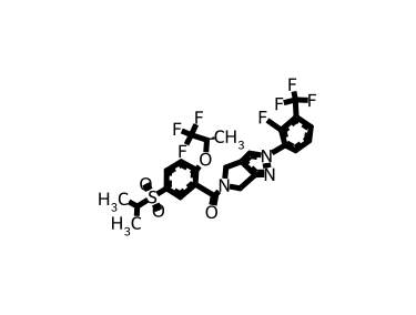 CC(C)S(=O)(=O)c1ccc(O[C@@H](C)C(F)(F)F)c(C(=O)N2Cc3cn(-c4cccc(C(F)(F)F)c4F)nc3C2)c1